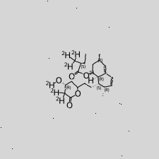 [2H]O[C@@H]1CC(CC[C@@H]2[C@@H]3C(=C[C@H](C)C[C@@H]3OC(=O)[C@H](CC)C([2H])([2H])[2H])C=C[C@@H]2C)OC(=O)C1([2H])[2H]